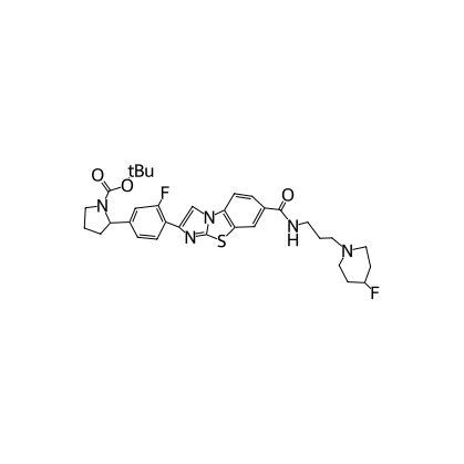 CC(C)(C)OC(=O)N1CCCC1c1ccc(-c2cn3c(n2)sc2cc(C(=O)NCCCN4CCC(F)CC4)ccc23)c(F)c1